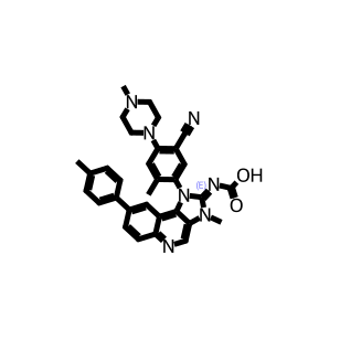 Cc1ccc(-c2ccc3ncc4c(c3c2)n(-c2cc(C#N)c(N3CCN(C)CC3)cc2C)/c(=N/C(=O)O)n4C)cc1